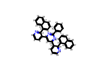 c1ccc(-c2nc(-c3cccnc3-c3cccc4ccccc34)cc(-c3cccnc3-c3cccc4ccccc34)n2)cc1